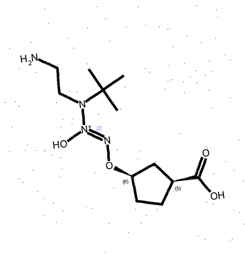 CC(C)(C)N(CCN)/[N+](O)=N/O[C@@H]1CC[C@H](C(=O)O)C1